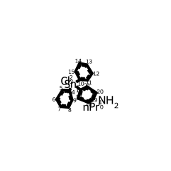 CCCN.[Cl][Sn]([c]1ccccc1)([c]1ccccc1)[c]1ccccc1